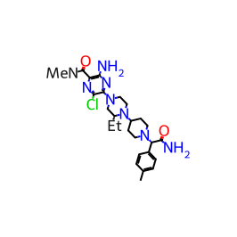 CC[C@H]1CN(c2nc(N)c(C(=O)NC)nc2Cl)CCN1C1CCN([C@@H](C(N)=O)c2ccc(C)cc2)CC1